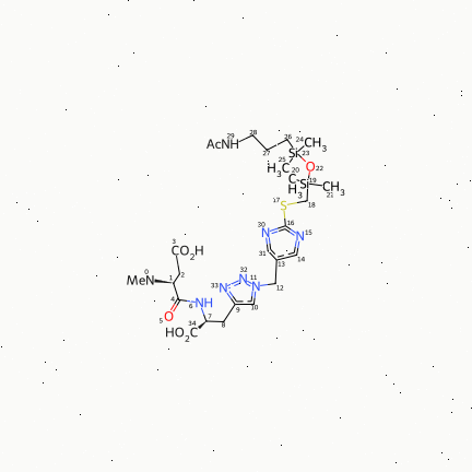 CN[C@@H](CC(=O)O)C(=O)N[C@@H](Cc1cn(Cc2cnc(SC[Si](C)(C)O[Si](C)(C)CCCNC(C)=O)nc2)nn1)C(=O)O